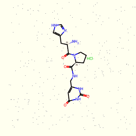 Cl.N[C@@H](Cc1c[nH]cn1)C(=O)N1CCC[C@H]1C(=O)NCc1cc(=O)[nH]c(=O)[nH]1